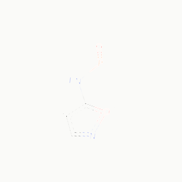 O=PNc1ccno1